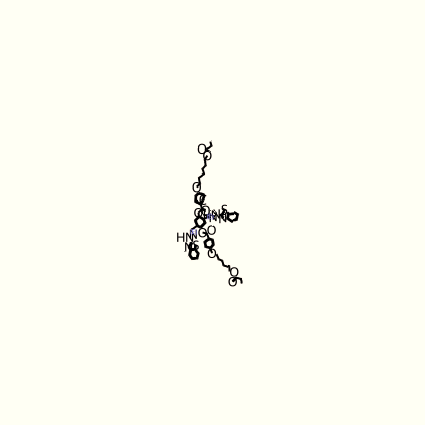 CCC(=O)OCCCCCCOc1ccc(C(=O)Oc2cc(/C=N/Nc3nc4ccccc4s3)c(OC(=O)c3ccc(OCCCCCCOC(=O)CC)cc3)cc2/C=N/Nc2nc3ccccc3s2)cc1